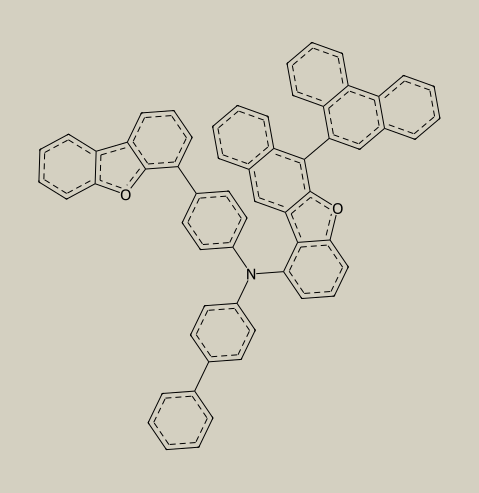 c1ccc(-c2ccc(N(c3ccc(-c4cccc5c4oc4ccccc45)cc3)c3cccc4oc5c(-c6cc7ccccc7c7ccccc67)c6ccccc6cc5c34)cc2)cc1